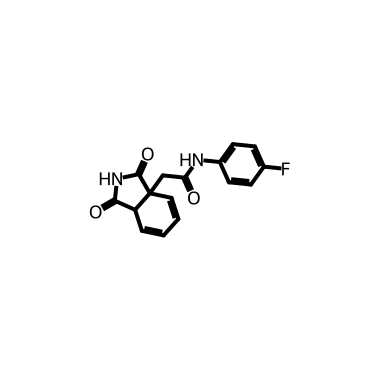 O=C(CC12C=CC=CC1C(=O)NC2=O)Nc1ccc(F)cc1